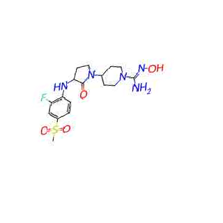 CS(=O)(=O)c1ccc(NC2CCN(C3CCN(C(N)=NO)CC3)C2=O)c(F)c1